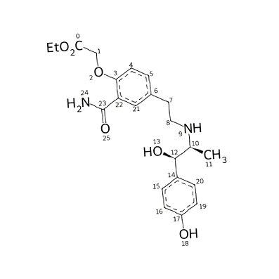 CCOC(=O)COc1ccc(CCN[C@@H](C)[C@H](O)c2ccc(O)cc2)cc1C(N)=O